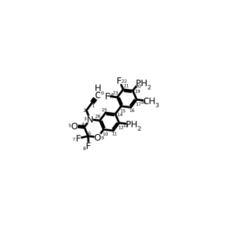 C#CCN1C(=O)C(F)(F)Oc2cc(P)c(-c3cc(C)c(P)c(F)c3F)cc21